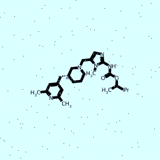 Cc1cc(C[C@H]2CCCN(Cc3cnc(NC(=O)OC(C)C(C)C)n3C)C2)cc(C)n1